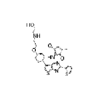 CC1=CC(=O)N(Nc2nc(-c3cccs3)nc3scc(-c4ccc(OCCNCCO)cc4)c23)C1=O